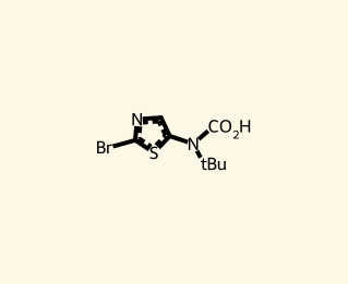 CC(C)(C)N(C(=O)O)c1cnc(Br)s1